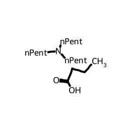 CCCC(=O)O.CCCCCN(CCCCC)CCCCC